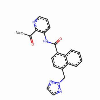 COC(=O)c1ncccc1NC(=O)c1ccc(Cn2nccn2)c2ccccc12